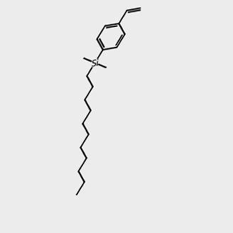 C=Cc1ccc([Si](C)(C)CCCCCCCCCCC)cc1